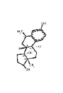 C[C@@H]1C[C@@H]2[C@H](CC[C@]3(C)C(O)CC[C@@]23O)c2ccc(O)cc21